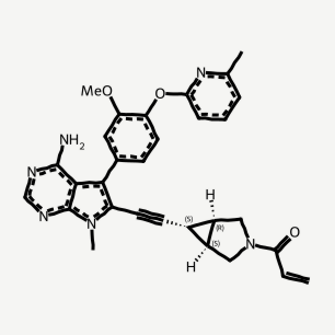 C=CC(=O)N1C[C@@H]2[C@@H](C#Cc3c(-c4ccc(Oc5cccc(C)n5)c(OC)c4)c4c(N)ncnc4n3C)[C@@H]2C1